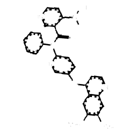 COc1cc2nccc(Oc3ccc(N(C(=O)c4c(N(C)C)cc[nH]c4=O)c4ccccc4)nc3)c2cc1OC